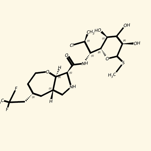 CSC1O[C@H]([C@H](NC(=O)[C@H]2NC[C@@H]3C[C@H](CC(C)(F)F)CCO[C@H]32)[C@H](C)Cl)[C@@H](O)C(O)[C@H]1O